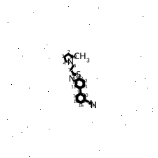 C[C@@H]1CCCN1CCc1nc2cc(-c3cccc(C#N)c3)ccc2s1